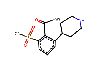 CCCC(=O)c1c(C2CCNCC2)cccc1S(=O)(=O)N=O